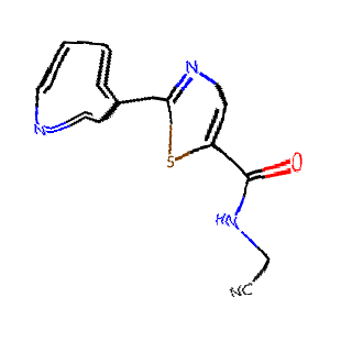 N#CCNC(=O)c1cnc(-c2cccnc2)s1